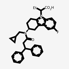 CCC(C(=O)O)n1c2c(c3cc(F)ccc31)C[C@@H](N(CC1CC1)C(=O)CC(c1ccccc1)c1ccccc1)CC2